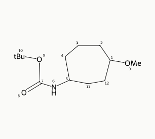 COC1CCCC(NC(=O)OC(C)(C)C)CC1